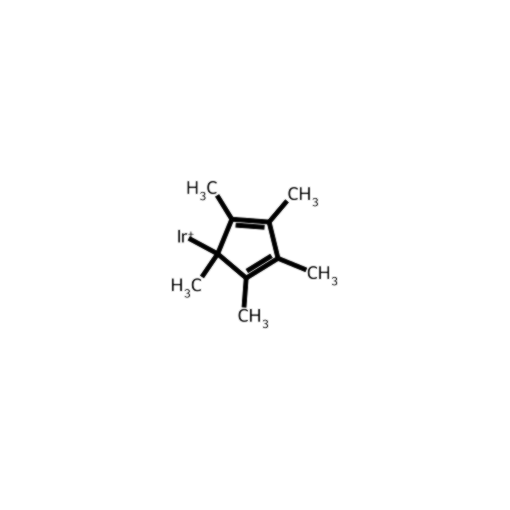 CC1=C(C)[C](C)([Ir+])C(C)=C1C